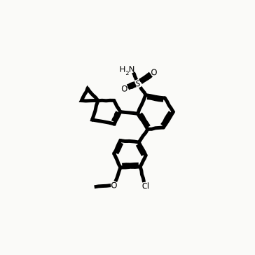 COc1ccc(-c2cccc(S(N)(=O)=O)c2C2=CCC3(CC3)C2)cc1Cl